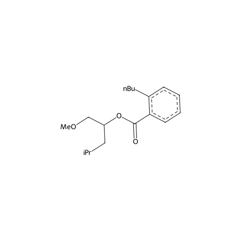 CCCCc1ccccc1C(=O)OC(COC)CC(C)C